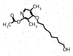 CC(=O)Oc1ncc(C)c(OCCCCCCCCO)c1C